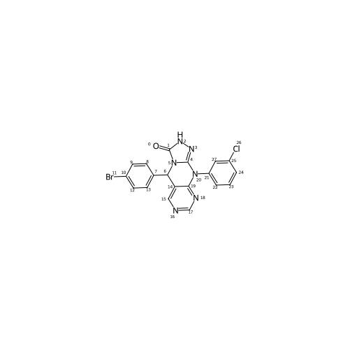 O=c1[nH]nc2n1C(c1ccc(Br)cc1)c1cncnc1N2c1cccc(Cl)c1